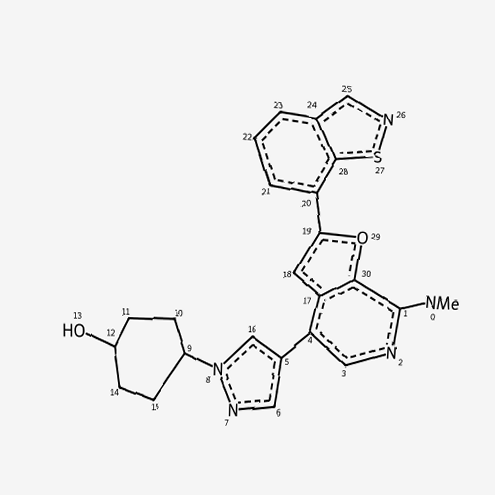 CNc1ncc(-c2cnn(C3CCC(O)CC3)c2)c2cc(-c3cccc4cnsc34)oc12